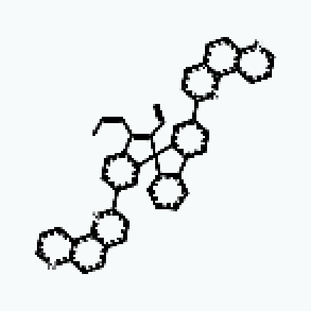 C=CC1=C(/C=C\C)c2ccc(-c3ccc4ccc5ncccc5c4n3)cc2C12c1ccccc1-c1ccc(-c3ccc4ccc5ncccc5c4n3)cc12